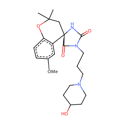 COc1ccc2c(c1)C1(CC(C)(C)O2)NC(=O)N(CCCN2CCC(O)CC2)C1=O